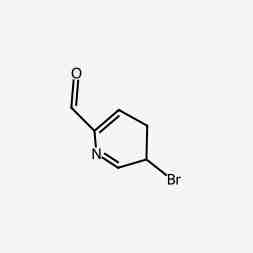 O=CC1=CCC(Br)C=N1